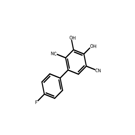 N#Cc1cc(-c2ccc(F)cc2)c(C#N)c(O)c1O